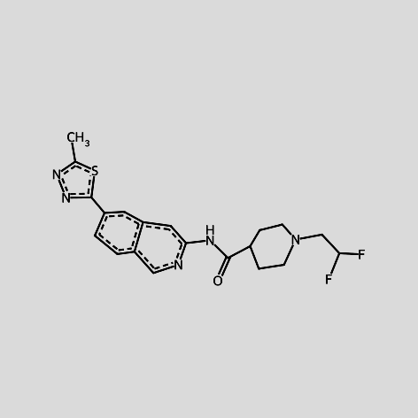 Cc1nnc(-c2ccc3cnc(NC(=O)C4CCN(CC(F)F)CC4)cc3c2)s1